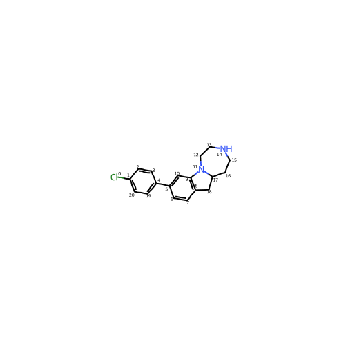 Clc1ccc(-c2ccc3c(c2)N2CCNCCC2C3)cc1